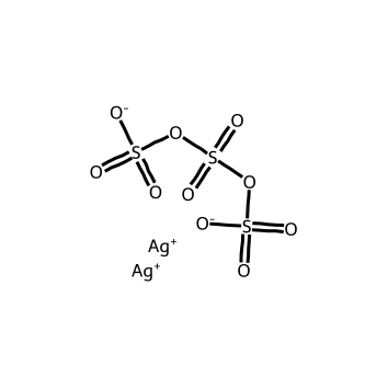 O=S(=O)([O-])OS(=O)(=O)OS(=O)(=O)[O-].[Ag+].[Ag+]